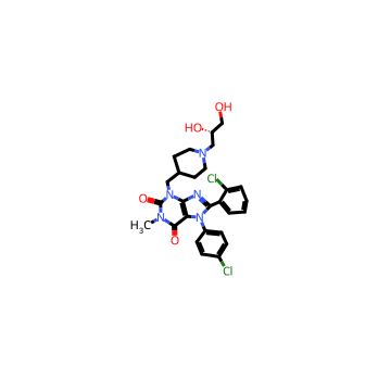 Cn1c(=O)c2c(nc(-c3ccccc3Cl)n2-c2ccc(Cl)cc2)n(CC2CCN(C[C@H](O)CO)CC2)c1=O